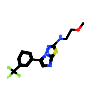 COCCNc1nn2c(-c3cccc(C(F)(F)F)c3)cnc2s1